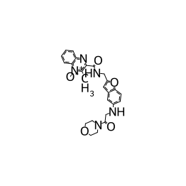 Cc1c(C(=O)NCc2cc3cc(NCC(=O)N4CCOCC4)ccc3o2)nc2ccccc2[n+]1[O-]